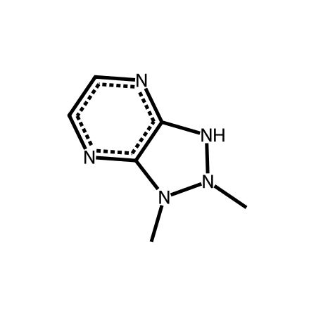 CN1Nc2nccnc2N1C